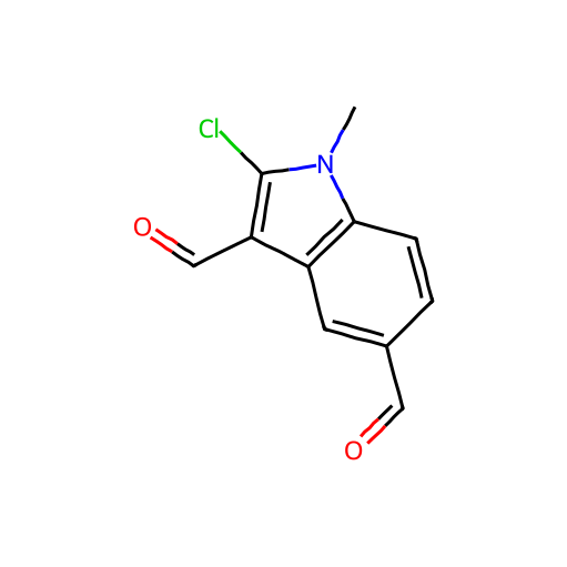 Cn1c(Cl)c(C=O)c2cc(C=O)ccc21